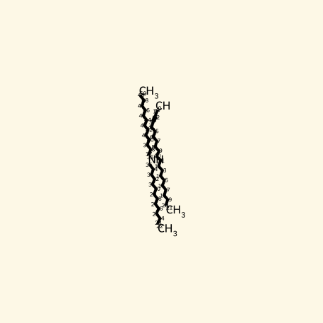 C#CC#CCCCCCCCCCCCCCCCCCC.CCCCCCCCCCCCCCNCCCCCCCCCCCCCC